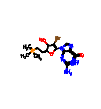 C=P(C)(C)CCC1OC(n2cnc3c(=O)[nH]c(N)nc32)[C@H](Br)[C@@H]1O